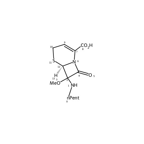 CCCCCNC1(OC)C(=O)N2C(C(=O)O)=CCS[C@@H]21